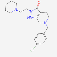 O=c1c2c([nH]n1CCN1CCCCC1)CN(Cc1ccc(Cl)cc1)CC2